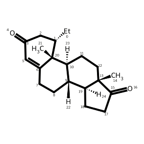 CC[C@H]1CC(=O)C=C2CC[C@@H]3[C@H](CC[C@]4(C)C(=O)CC[C@@H]34)[C@]21C